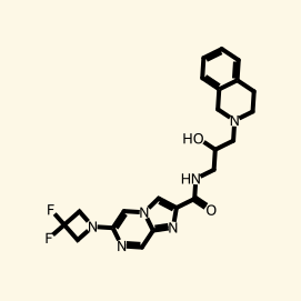 O=C(NCC(O)CN1CCc2ccccc2C1)c1cn2cc(N3CC(F)(F)C3)ncc2n1